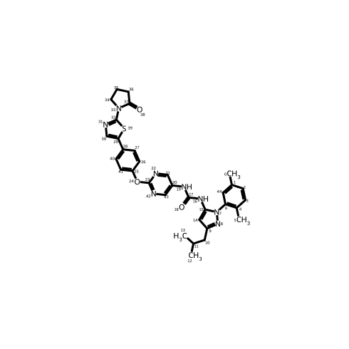 Cc1ccc(C)c(-n2nc(CC(C)C)cc2NC(=O)Nc2cnc(Oc3ccc(-c4cnc(N5CCCC5=O)s4)cc3)nc2)c1